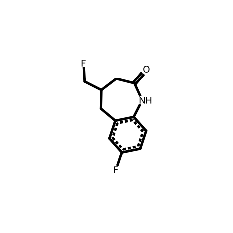 O=C1CC(CF)Cc2cc(F)ccc2N1